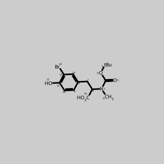 CN(C(=O)OC(C)(C)C)C(Cc1ccc(O)c(Br)c1)C(=O)O